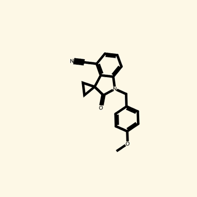 COc1ccc(CN2C(=O)C3(CC3)c3c(C#N)cccc32)cc1